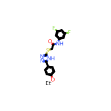 CCOc1ccc(-c2nnc(SCC(=O)Nc3cc(F)cc(F)c3)[nH]2)cc1